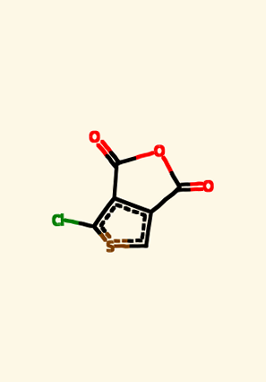 O=C1OC(=O)c2c1csc2Cl